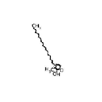 CCCCCCCCCCCCCCCCC=Cn1ccc(=O)c(CO)c1C